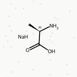 C[C@@H](N)C(=O)O.[NaH]